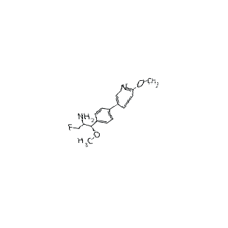 COc1ccc(-c2ccc([C@@H](OC)[C@H](N)CF)cc2)cn1